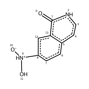 O=c1[nH]ccc2ccc([NH+]([O-])O)cc12